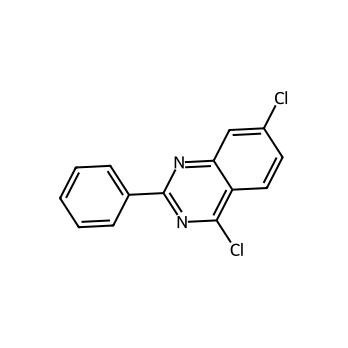 Clc1ccc2c(Cl)nc(-c3ccccc3)nc2c1